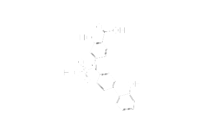 CS(=O)(=O)N(c1ccc(-c2ccccc2O)cc1)c1ccc(C(=O)O)c(O)c1